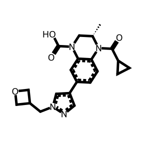 C[C@H]1CN(C(=O)O)c2cc(-c3cnn(CC4COC4)c3)ccc2N1C(=O)C1CC1